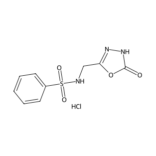 Cl.O=c1[nH]nc(CNS(=O)(=O)c2ccccc2)o1